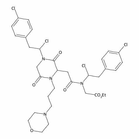 CCOC(=O)CN(C(=O)CC1C(=O)N(C(Cl)Cc2ccc(Cl)cc2)CC(=O)N1CCCN1CCOCC1)C(Cl)Cc1ccc(Cl)cc1